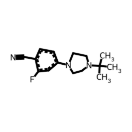 CC(C)(C)N1CCN(c2ccc(C#N)c(F)c2)CC1